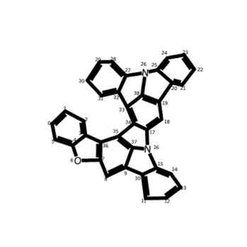 c1ccc2c(c1)oc1cc3c4ccccc4n4c5cc6c7ccccc7n7c8ccccc8c(c5c(c12)c34)c67